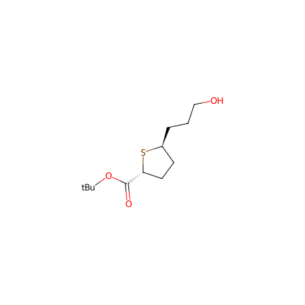 CC(C)(C)OC(=O)[C@H]1CC[C@H](CCCO)S1